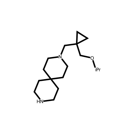 CC(C)OCC1(CN2CCC3(CCNCC3)CC2)CC1